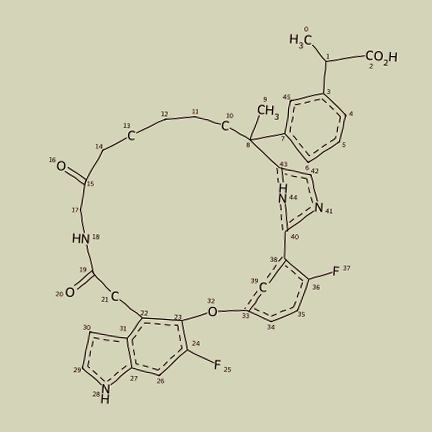 CC(C(=O)O)c1cccc(C2(C)CCCCCC(=O)CNC(=O)Cc3c(c(F)cc4[nH]ccc34)Oc3ccc(F)c(c3)-c3ncc2[nH]3)c1